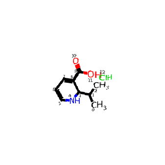 CC(C)C1NC=CC=C1C(=O)O.Cl